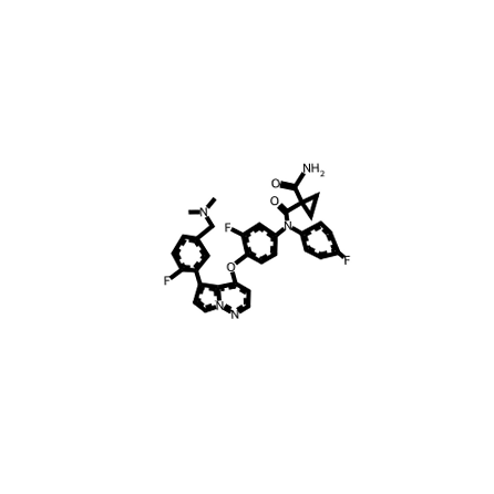 CN(C)Cc1ccc(F)c(-c2ccn3nccc(Oc4ccc(N(C(=O)C5(C(N)=O)CC5)c5ccc(F)cc5)cc4F)c23)c1